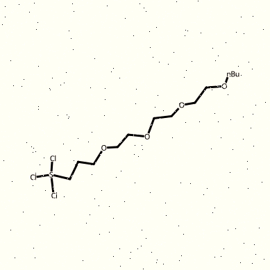 CCCCOCCOCCOCCOCCCS(Cl)(Cl)Cl